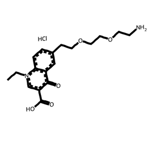 CCn1cc(C(=O)O)c(=O)c2cc(CCOCCOCCN)ccc21.Cl